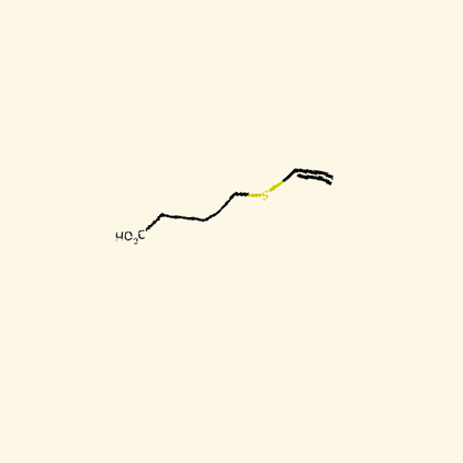 C=CSCCCC(=O)O